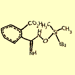 CC(C)(C)[Si](C)(C)ONC(=N)c1ccccc1C(=O)O